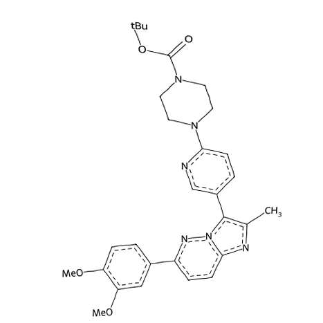 COc1ccc(-c2ccc3nc(C)c(-c4ccc(N5CCN(C(=O)OC(C)(C)C)CC5)nc4)n3n2)cc1OC